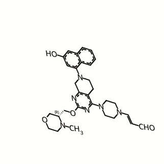 CN1CCOC[C@@H]1COc1nc2c(c(N3CCN(C=CC=O)CC3)n1)CCN(c1cc(O)cc3ccccc13)C2